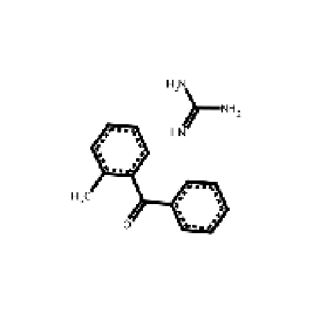 Cc1ccccc1C(=O)c1ccccc1.N=C(N)N